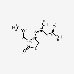 COC[C@@H]1C(=O)CCN1N=C(C)CC(=O)O